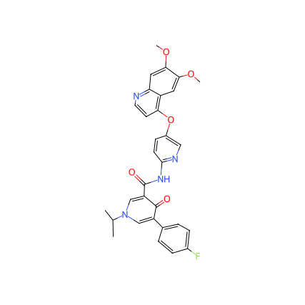 COc1cc2nccc(Oc3ccc(NC(=O)c4cn(C(C)C)cc(-c5ccc(F)cc5)c4=O)nc3)c2cc1OC